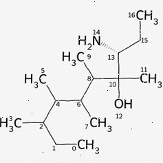 CCC(C)C(C)C(C)C(C)C(C)(O)[C@H](N)CC